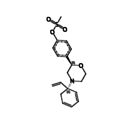 C=C[C@@]1(N2CCO[C@H](c3ccc(OS(C)(=O)=O)cc3)C2)C=CC=CC1